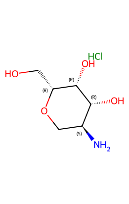 Cl.N[C@H]1CO[C@H](CO)[C@H](O)[C@@H]1O